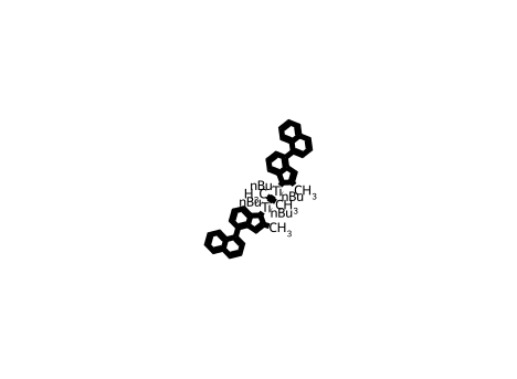 CCC[CH2][Ti]([CH2]CCC)([CH]1C(C)=Cc2c(-c3cccc4ccccc34)cccc21)[C](C)(C)[Ti]([CH2]CCC)([CH2]CCC)[CH]1C(C)=Cc2c(-c3cccc4ccccc34)cccc21